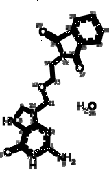 Nc1nc2c(c(=O)[nH]1)NCN2COCCN1C(=O)c2ccccc2C1=O.O